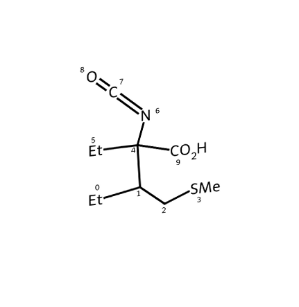 CCC(CSC)C(CC)(N=C=O)C(=O)O